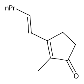 CCCC=CC1=C(C)C(=O)CC1